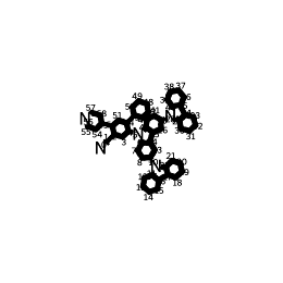 N#Cc1cc(-n2c3ccc(-n4c5ccccc5c5ccccc54)cc3c3cc(-n4c5ccccc5c5ccccc54)ccc32)c(-c2ccccc2)cc1-c1ccncc1